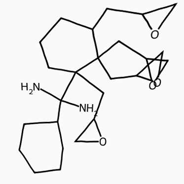 NC(N)(C1CCCCC1)C1(CC2CO2)CCCC(CC2CO2)C1(CC1CO1)CC1CO1